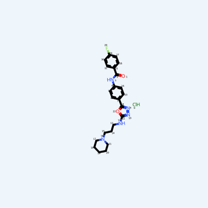 Cl.O=C(Nc1ccc(-c2nnc(NCCCN3CCCCC3)o2)cc1)c1ccc(F)cc1